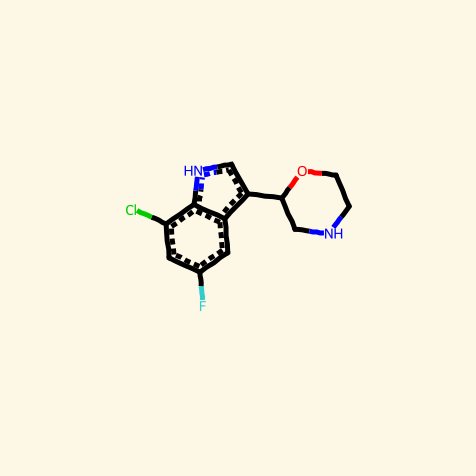 Fc1cc(Cl)c2[nH]cc(C3CNCCO3)c2c1